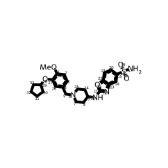 COc1ccc(CN2CCC(Nc3nc4cc(S(N)(=O)=O)ccc4o3)CC2)cc1OC1CCCC1